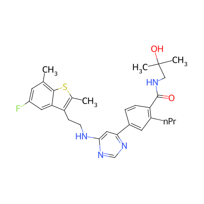 CCCc1cc(-c2cc(NCCc3c(C)sc4c(C)cc(F)cc34)ncn2)ccc1C(=O)NCC(C)(C)O